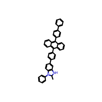 CC1Nc2cc(-c3ccc(-c4c5ccccc5c(-c5ccc(-c6ccccc6)cc5)c5ccccc45)cc3)ccc2N1c1ccccc1